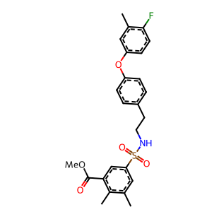 COC(=O)c1cc(S(=O)(=O)NCCc2ccc(Oc3ccc(F)c(C)c3)cc2)cc(C)c1C